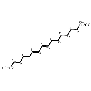 CCCCCCCCCCCCCCC=CC=CCCCCCCCCCCCCCCCC